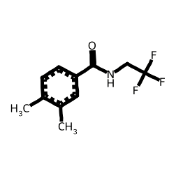 Cc1ccc(C(=O)NCC(F)(F)F)cc1C